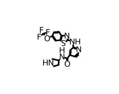 O=C(NC1CCNC1)c1c#cnc(Nc2nc3ccc(OC(F)(F)F)cc3s2)c1